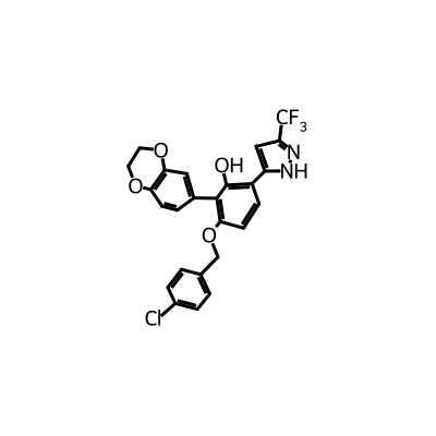 Oc1c(-c2cc(C(F)(F)F)n[nH]2)ccc(OCc2ccc(Cl)cc2)c1-c1ccc2c(c1)OCCO2